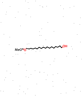 COCOCCCCCCCCCCCCCCCCCCO